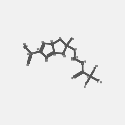 CC1(CNOC(=O)C(F)(F)F)Cn2cc([N+](=O)[O-])nc2O1